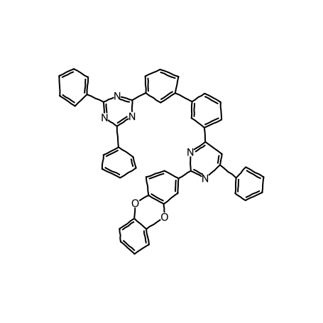 c1ccc(-c2cc(-c3cccc(-c4cccc(-c5nc(-c6ccccc6)nc(-c6ccccc6)n5)c4)c3)nc(-c3ccc4c(c3)Oc3ccccc3O4)n2)cc1